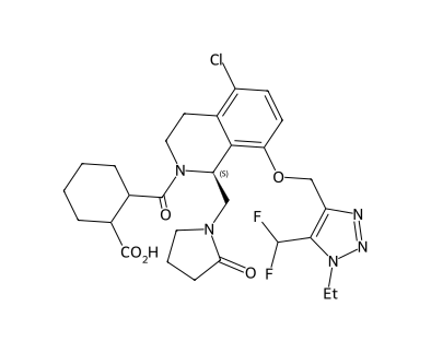 CCn1nnc(COc2ccc(Cl)c3c2[C@@H](CN2CCCC2=O)N(C(=O)C2CCCCC2C(=O)O)CC3)c1C(F)F